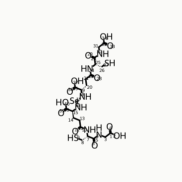 O=C(O)CNC(=O)[C@H](CS)NC(=O)CC[C@H](N[Se]N[C@@H](CCC(=O)N[C@@H](CS)C(=O)NCC(=O)O)C(=O)O)C(=O)O